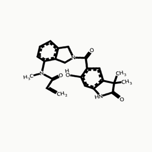 C=CC(=O)N(C)c1cccc2c1CN(C(=O)c1cc3c(cc1O)NC(=O)C3(C)C)C2